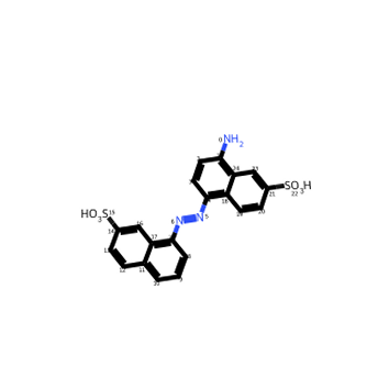 Nc1ccc(N=Nc2cccc3ccc(S(=O)(=O)O)cc23)c2ccc(S(=O)(=O)O)cc12